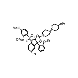 CCCC1CCN(N2CCN(C(=O)OC3(c4ccccc4OCC)C(=O)N(S(=O)(=O)c4ccc(OC)cc4OC)c4ccc(C#N)cc43)CC2)CC1